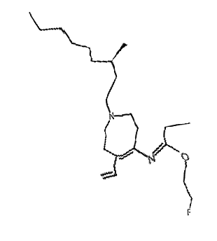 C=CC1=C(/N=C(\CC)OCCF)CCN(CC[C@H](C)CCCCCC)CC1